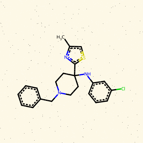 Cc1csc(C2(Nc3cccc(Cl)c3)CCN(Cc3ccccc3)CC2)n1